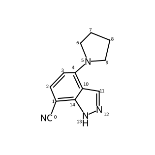 N#Cc1ccc(N2CCCC2)c2cn[nH]c12